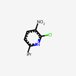 CC(C)c1ccc([N+](=O)[O-])c(Cl)n1